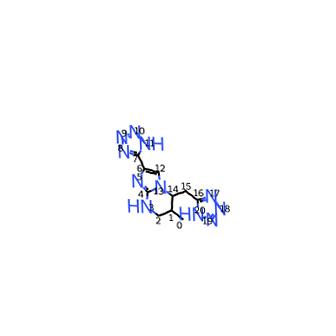 CC1CNc2nc(-c3nnn[nH]3)cn2C1Cc1nnn[nH]1